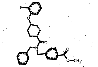 COC(=O)c1ccc(CN(Cc2ccccc2)C(=O)C2CCC(Oc3ccccc3F)CC2)cc1